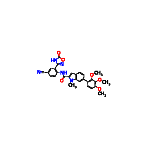 COc1ccc(-c2ccc3cc(C(=O)Nc4ccc(C#N)cc4-c4noc(=O)[nH]4)n(C)c3c2)c(OC)c1OC